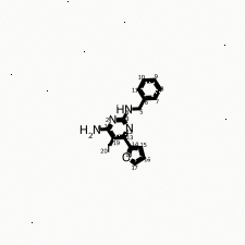 Nc1nc(NCc2ccccc2)nc(-c2ccco2)c1I